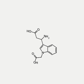 NC(CC(=O)O)c1cn(CC(=O)O)c2ccccc12